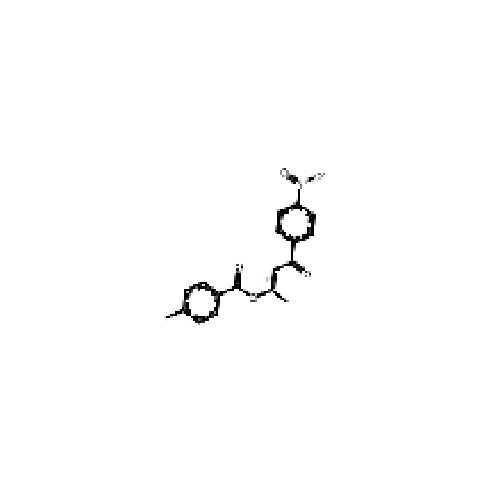 C/C(=C\C(=O)c1ccc([N+](=O)[O-])cc1)OC(=O)c1ccc(C)cc1